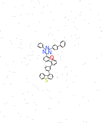 c1ccc(-c2ccc(-c3nc(-c4ccccc4)nc(-c4cccc5c4oc4cccc(-c6cccc(-c7cccc8sc9ccccc9c78)c6)c45)n3)cc2)cc1